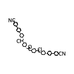 N#Cc1ccc(-c2ccc([C@H]3CC[C@H](CC(Cl)C4CCC(CC(=O)C[C@H]5CC[C@H](C(Cl)C[C@H]6CC[C@H](c7ccc(-c8ccc(C#N)cc8)cc7)CC6)CC5)CC4)CC3)cc2)cc1